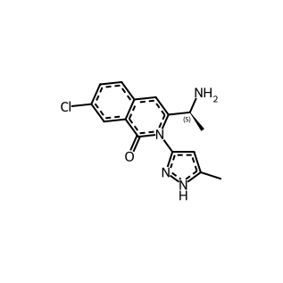 Cc1cc(-n2c([C@H](C)N)cc3ccc(Cl)cc3c2=O)n[nH]1